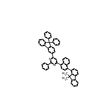 CC1(C)c2ccccc2-c2cccc(-c3ccc(-c4cc(-c5ccc6c(c5)-c5ccccc5C6(c5ccccc5)c5ccccc5)nc(-c5ccccc5)n4)c4ccccc34)c21